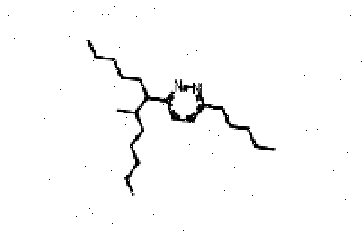 CCCCCc1ccc(C(CCCCC)C(C)CCCCC)nn1